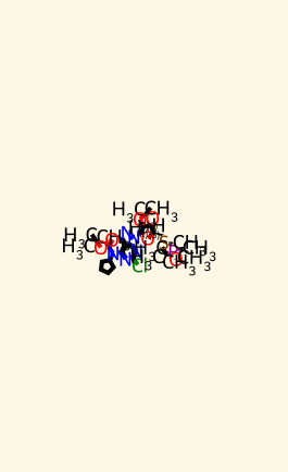 CC(C)(C)OC(=O)N(c1nc(Cl)nc2c1cnn2[C@@H]1O[C@H](CSCP(=O)(C(C)(C)C)C(C)(C)C)[C@H]2OC(C)(C)O[C@H]21)C1CCCC1